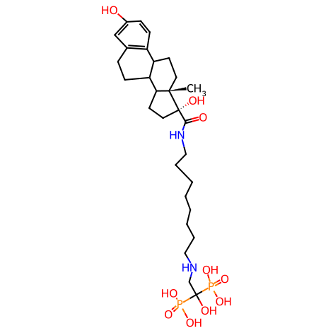 C[C@]12CCC3c4ccc(O)cc4CCC3C1CC[C@]2(O)C(=O)NCCCCCCCCNCC(O)(P(=O)(O)O)P(=O)(O)O